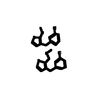 COCc1sccc1Cc1cccc(Cl)c1.COc1sccc1Cc1cccc(Cl)c1